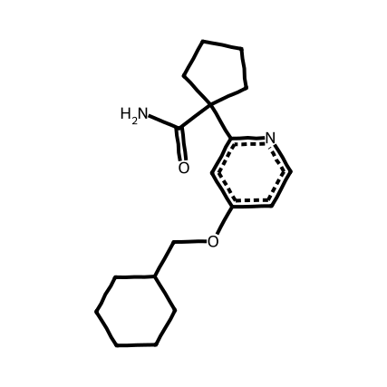 NC(=O)C1(c2cc(OCC3CCCCC3)ccn2)CCCC1